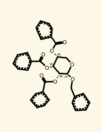 O=C(O[C@H]1[C@H](OCc2ccccc2)OC[C@@H](OC(=O)c2ccccc2)[C@H]1OC(=O)c1ccccc1)c1ccccc1